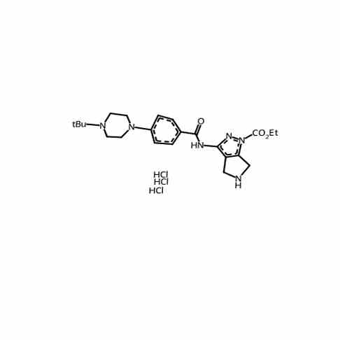 CCOC(=O)n1nc(NC(=O)c2ccc(N3CCN(C(C)(C)C)CC3)cc2)c2c1CNC2.Cl.Cl.Cl